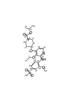 CCOc1c(OC2CCN(C(=O)OC(C)C)CC2)ccnc1Nc1ccc(S(C)(=O)=O)cc1OC